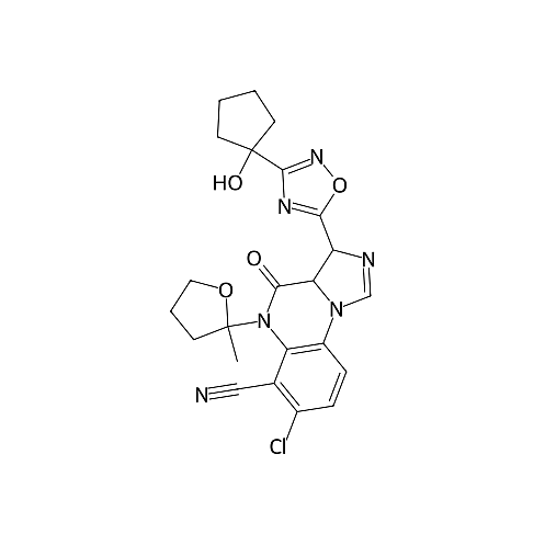 CC1(N2C(=O)C3C(c4nc(C5(O)CCCC5)no4)N=CN3c3ccc(Cl)c(C#N)c32)CCCO1